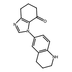 O=C1CCCc2ncn(-c3ccc4c(c3)CCCN4)c21